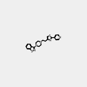 c1ccc2c(N3CCN(CCc4csc(-c5ccncc5)n4)CC3)nsc2c1